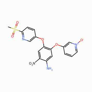 CS(=O)(=O)c1ccc(Oc2cc([N+](=O)[O-])c(N)cc2Oc2ccc[n+]([O-])c2)cn1